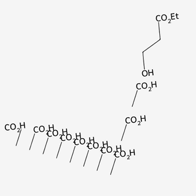 CC(=O)O.CC(=O)O.CC(=O)O.CC(=O)O.CC(=O)O.CC(=O)O.CC(=O)O.CC(=O)O.CC(=O)O.CC(=O)O.CCOC(=O)CCO